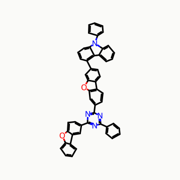 c1ccc(-c2nc(-c3ccc4c(c3)oc3cc(-c5cccc6c5c5ccccc5n6-c5ccccc5)ccc34)nc(-c3ccc4oc5ccccc5c4c3)n2)cc1